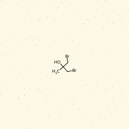 CC(O)(CBr)CBr